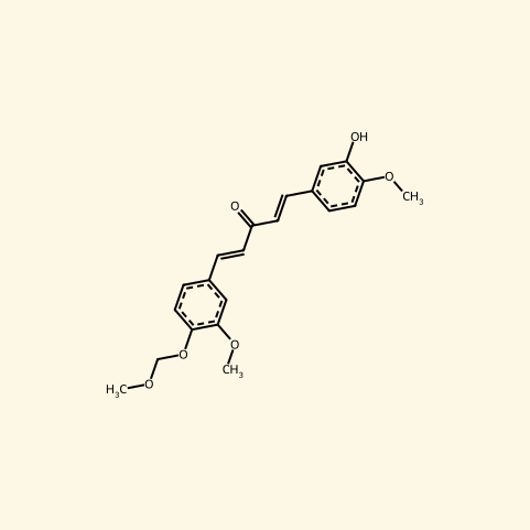 COCOc1ccc(C=CC(=O)C=Cc2ccc(OC)c(O)c2)cc1OC